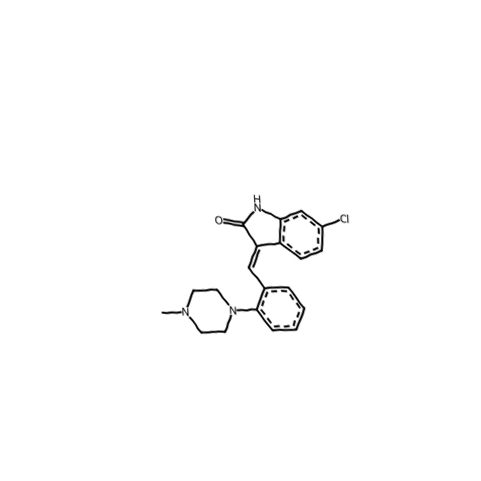 CN1CCN(c2ccccc2/C=C2/C(=O)Nc3cc(Cl)ccc32)CC1